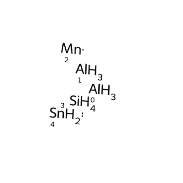 [AlH3].[AlH3].[Mn].[SiH4].[SnH2]